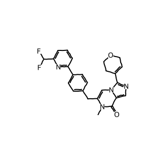 Cn1c(Cc2ccc(-c3cccc(C(F)F)n3)cc2)cn2c(C3=CCOCC3)ncc2c1=O